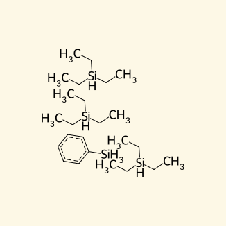 CC[SiH](CC)CC.CC[SiH](CC)CC.CC[SiH](CC)CC.[SiH3]c1ccccc1